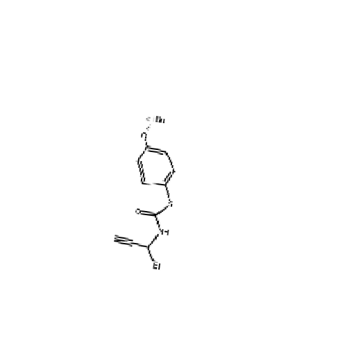 C#CC(CC)NC(=O)Sc1ccc(O[C@@H](C)CC)cc1